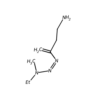 C=C(CCN)/N=N\N(C)CC